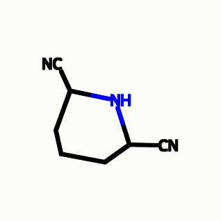 N#CC1CCCC(C#N)N1